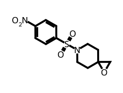 O=[N+]([O-])c1ccc(S(=O)(=O)N2CCC3(CC2)CO3)cc1